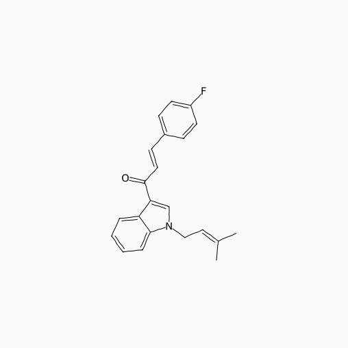 CC(C)=CCn1cc(C(=O)C=Cc2ccc(F)cc2)c2ccccc21